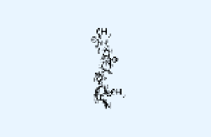 C=CC(=O)N1CCC2(CC1)CC(C(=O)N1CCC(n3cc(-c4cc(OC)c5c(C#N)cnn5c4)cn3)CC1)C2